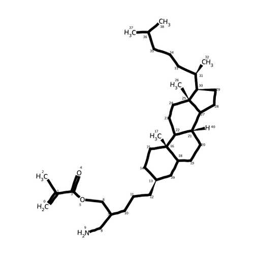 C=C(C)C(=O)OCC(CN)CCC[C@H]1CC[C@@]2(C)C(CC[C@@H]3C2CC[C@@]2(C)C3CC[C@@H]2[C@H](C)CCCC(C)C)C1